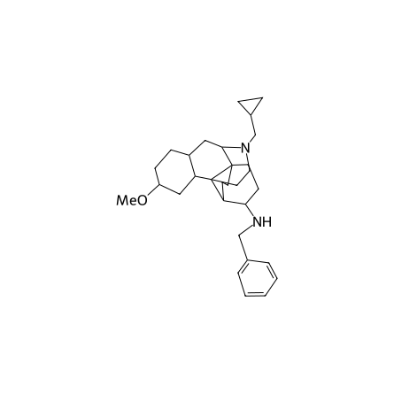 COC1CCC2CC3N(CC4CC4)CCC4(C2C1)C1CCC34CCC1NCc1ccccc1